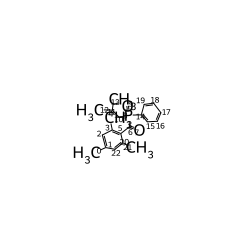 Cc1cc(C)c(C(=O)P(=O)(CC(C)C)c2ccccc2)c(C)c1